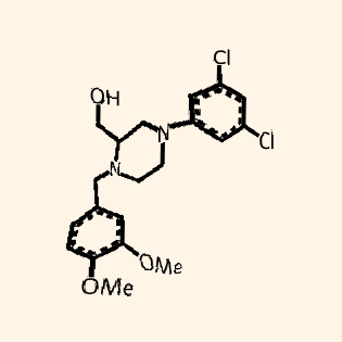 COc1ccc(CN2CCN(c3cc(Cl)cc(Cl)c3)CC2CO)cc1OC